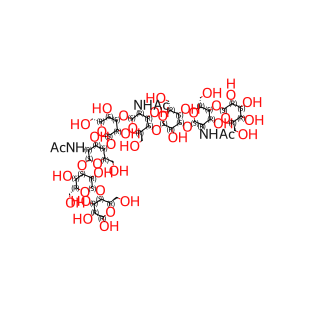 CC(=O)N[C@H]1[C@H](O[C@H]2[C@@H](O)[C@@H](CO)O[C@@H](O[C@H]3[C@H](O)[C@@H](NC(C)=O)[C@H](O[C@H]4[C@@H](O)[C@@H](CO)O[C@@H](O[C@H]5[C@H](O)[C@@H](NC(C)=O)[C@H](O[C@H]6[C@@H](O)[C@@H](CO)O[C@@H](O[C@H]7[C@H](O)[C@@H](O)[C@H](O)O[C@@H]7CO)[C@@H]6O)O[C@@H]5CO)[C@@H]4O)O[C@@H]3CO)[C@@H]2O)O[C@H](CO)[C@@H](O[C@@H]2O[C@H](CO)[C@H](O)[C@H](O)[C@H]2O)[C@@H]1O